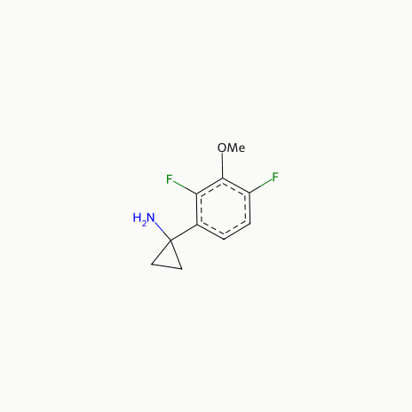 COc1c(F)ccc(C2(N)CC2)c1F